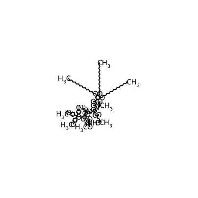 [C-]#[N+]CCOP(=O)(OC[C@H]1O[C@@H](n2cc(C)c(=O)n(C(=O)c3cc(OCCCCCCCCCCCCCCCC)c(OCCCCCCCCCCCCCCCC)c(OCCCCCCCCCCCCCCCC)c3)c2=O)CC1OC(=O)CCC(C)=O)OC1C[C@H](n2cc(C)c(=O)[nH]c2=O)O[C@@H]1COC(c1ccccc1)(c1ccc(OC)cc1)c1ccc(OC)cc1